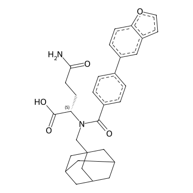 NC(=O)CC[C@@H](C(=O)O)N(CC12CC3CC(CC(C3)C1)C2)C(=O)c1ccc(-c2ccc3occc3c2)cc1